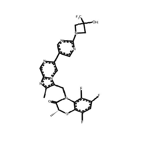 Cc1nc2cnc(-c3cnc(N4CC(O)(C(F)(F)F)C4)nc3)cn2c1CN1C(=O)[C@@H](C)Oc2c(F)cc(F)c(F)c21